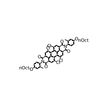 CCCCCCCCOc1ccc(N2C(=O)c3cc(Cl)c4c5c(Cl)cc6c7c(cc(Cl)c(c8c(Cl)cc(c3c48)C2=O)c75)C(=O)N(c2ccc(OCCCCCCCC)cc2C)C6=O)c(C)c1